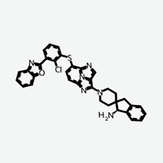 N[C@@H]1c2ccccc2CC12CCN(c1nc3ccc(Sc4cccc(-c5nc6ccccc6o5)c4Cl)c4ncc1n34)CC2